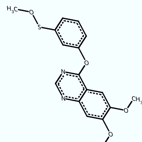 COSc1cccc(Oc2ncnc3cc(OC)c(OC)cc23)c1